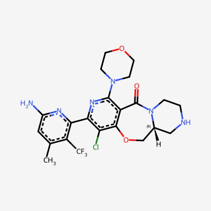 Cc1cc(N)nc(-c2nc(N3CCOCC3)c3c(c2Cl)OC[C@H]2CNCCN2C3=O)c1C(F)(F)F